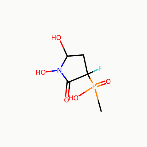 CP(=O)(O)C1(F)CC(O)N(O)C1=O